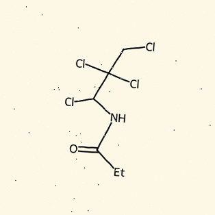 CCC(=O)NC(Cl)C(Cl)(Cl)CCl